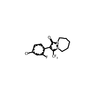 O=c1c(-c2ccc(Cl)cc2F)c(C(F)(F)F)n2n1CCCCC2